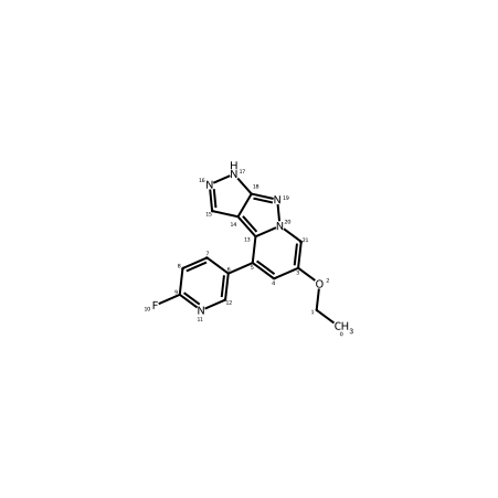 CCOc1cc(-c2ccc(F)nc2)c2c3cn[nH]c3nn2c1